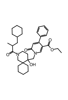 CCOC(=O)c1cn(CC2(O)CCN(C(=O)C(C)CC3CCCCC3)CC23CCCCC3)c(=O)cc1-c1ccccc1